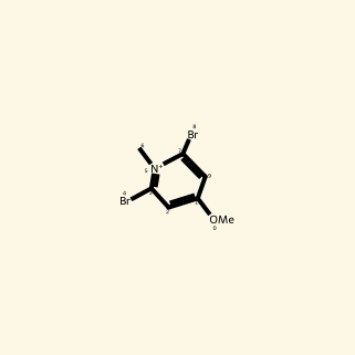 COc1cc(Br)[n+](C)c(Br)c1